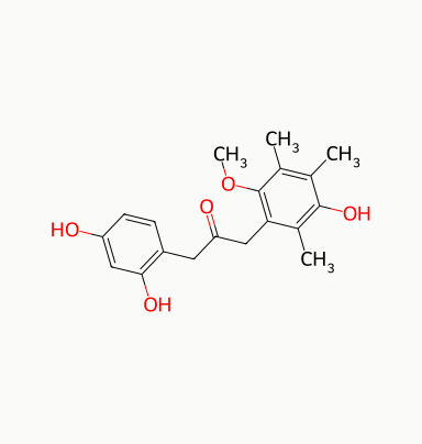 COc1c(C)c(C)c(O)c(C)c1CC(=O)Cc1ccc(O)cc1O